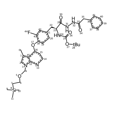 Cc1cn(COCC[Si](C)(C)C)c2nccc(Oc3ccc(C[C@H](NC(=O)OC(C)(C)C)C(=O)NNC(=O)Cc4ccccc4)cc3F)c12